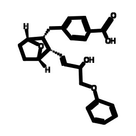 O=C(O)c1ccc(C[C@@H]2[C@H](/C=C/C(O)COc3ccccc3)[C@@H]3CC[C@H]2O3)cc1